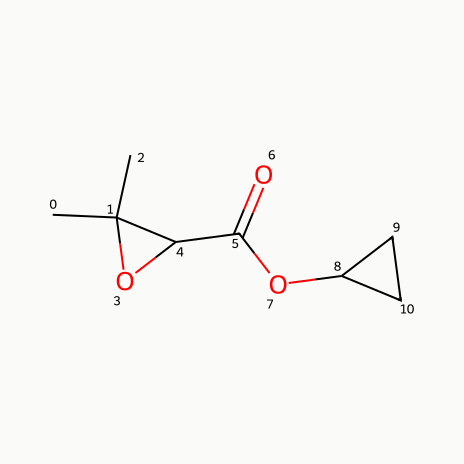 CC1(C)OC1C(=O)OC1CC1